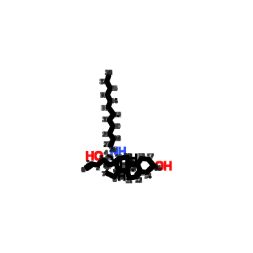 C=CC[C@@](C)(O)[C@H]1CC[C@H]2[C@@H]3CC=C4C[C@@H](O)CC[C@]4(C)[C@H]3CC[C@@]21CNCCCCCCCCCCCC